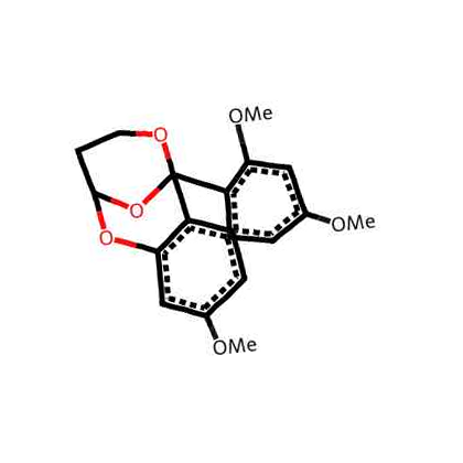 COc1ccc(C23OCCC(Oc4cc(OC)ccc42)O3)c(OC)c1